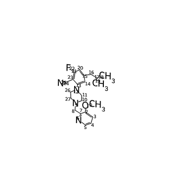 COc1cccnc1CN1CCN(c2cc(CC(C)C)cc(F)c2C#N)CC1